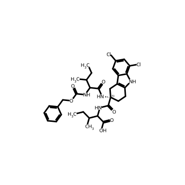 CCC(C)C(NC(=O)[C@]1(NC(=O)C(NC(=O)OCc2ccccc2)C(C)CC)CCc2[nH]c3c(Cl)cc(Cl)cc3c2C1)C(=O)O